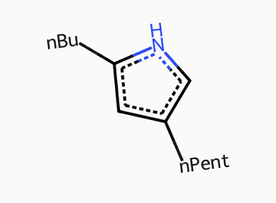 [CH2]CCCc1cc(CCCCC)c[nH]1